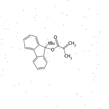 C=C(C)C(=O)OC1(C(C)(C)C)c2ccccc2-c2ccccc21